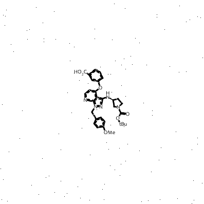 COc1ccc(Cn2nc(N[C@H]3CCN(C(=O)OC(C)(C)C)C3)c3c(Oc4cccc(C(=O)O)c4)ccnc32)cc1